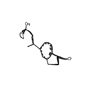 C/C(=C\C(=O)O)c1ccc2c(c1)CCC2=O